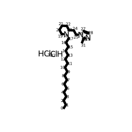 CCCCCCCCCCCCCCCCCCN1CCCCC1CCn1ccnc1C.Cl.Cl